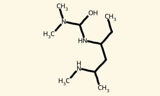 CCC(CC(C)NC)NC(O)N(C)C